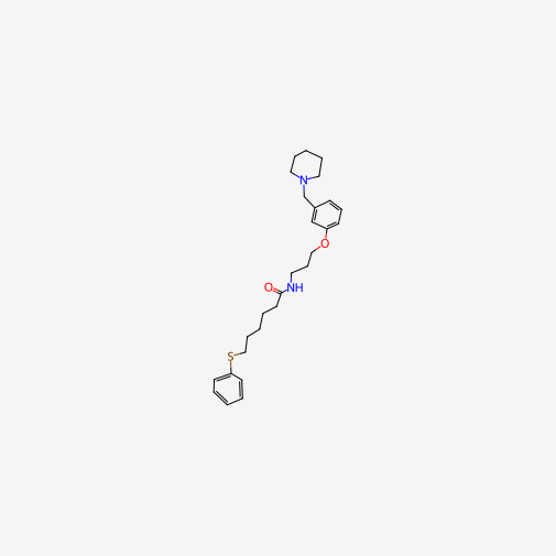 O=C(CCCCCSc1ccccc1)NCCCOc1cccc(CN2CCCCC2)c1